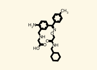 Cc1ccc(C(=NOCC(=O)NCC2CCCCC2)c2ccc(N)c(CNCC(=O)O)c2)cc1